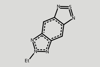 CCn1nc2cc3c(cc2n1)N=S=N3